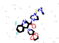 CN(C)SN1CCN(C(=O)c2cnc3c(F)cc(F)cc3c2N2CCC3(CC2)OCCO3)CC1